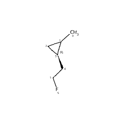 CC1C[C@@H]1CCF